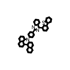 c1ccc2c3c(ccc2c1)N(c1ccc(-c2nc(-c4cccc5c4sc4ccccc45)c4ccccc4n2)cc1)c1cccc2cccc-3c12